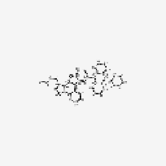 C=C/C=C\c1csc2c3ccccc3c3/c(=C/C(=C)c4c5ccccc5c(-c5ccccc5)c5ccccc45)c(=C)sc3c12